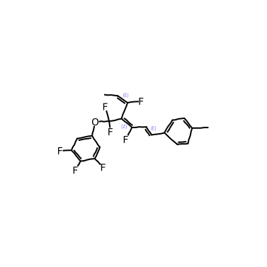 C\C=C(F)/C(=C(F)\C=C\c1ccc(C)cc1)C(F)(F)Oc1cc(F)c(F)c(F)c1